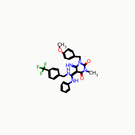 COc1ccc(CN2C(=N)/C(=C(\NCc3ccc(C(F)(F)F)cc3)Nc3ccccc3)C(=O)N(C)C2=O)cc1